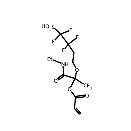 C=CC(=O)OC(OCCC(F)(F)C(F)(F)S(=O)(=O)O)(C(=O)NCC)C(F)(F)F